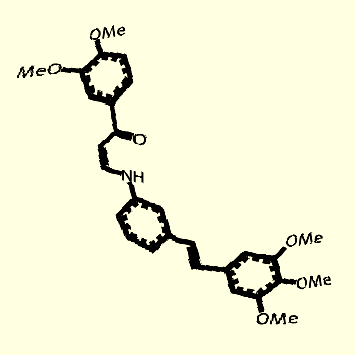 COc1ccc(C(=O)/C=C\Nc2cccc(C=Cc3cc(OC)c(OC)c(OC)c3)c2)cc1OC